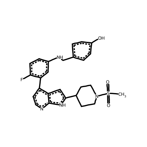 CS(=O)(=O)N1CCC(c2cc3c(-c4cc(NCc5ccc(O)cc5)ccc4F)ccnc3[nH]2)CC1